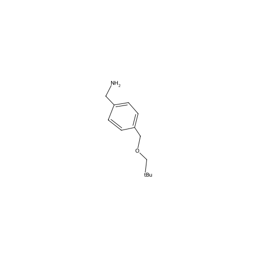 CC(C)(C)COCc1ccc(CN)cc1